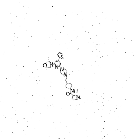 O=C(NC1CCC(CCN2CCN(c3cc(-c4cccs4)cc(N4CCOCC4)n3)CC2)CC1)c1cccnc1